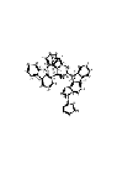 c1ccc(-n2ccc3c2ccc2c4ccccc4n(-c4nc(-c5cccc6c7ccccc7n(-c7ccccc7)c56)c5cscc5n4)c23)cc1